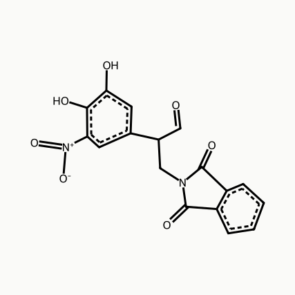 O=CC(CN1C(=O)c2ccccc2C1=O)c1cc(O)c(O)c([N+](=O)[O-])c1